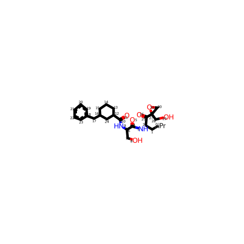 CC(C)CC(NC(=O)C(CO)NC(=O)C1CCCC(Cc2ccccc2)C1)C(=O)C1(CO)CO1